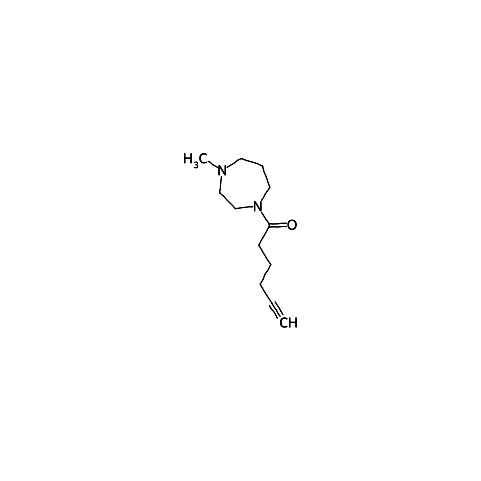 C#CCCCC(=O)N1CCCN(C)CC1